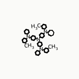 Cc1cccc(N(C2=CCCCC=C2)c2ccc(N(c3ccc(N(c4ccccc4)c4cccc(C)c4)cc3)c3ccc(N(c4ccccc4)c4cccc(C)c4)cc3)cc2)c1